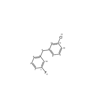 Fc1cccc([CH]c2cccc(Cl)c2)c1